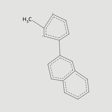 Cc1[c]ccc(-c2ccc3ccccc3c2)[c]1